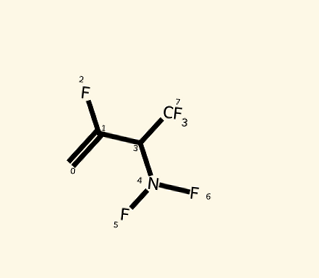 C=C(F)C(N(F)F)C(F)(F)F